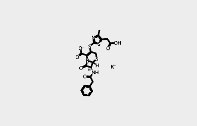 Cc1nc(SC2=C(C(=O)[O-])N3C(=O)[C@@H](NC(=O)Cc4ccccc4)[C@H]3SC2)sc1CC(=O)O.[K+]